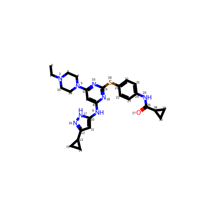 CCN1CCN(c2cc(Nc3cc(C4CC4)n[nH]3)nc(Sc3ccc(NC(=O)C4CC4)cc3)n2)CC1